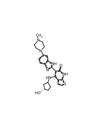 CN1CCN(c2ccc3nc(-c4c(NC5CC[C@H](O)C5)c5ccsc5[nH]c4=O)[nH]c3c2)CC1